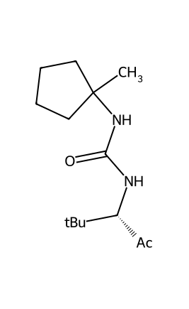 CC(=O)[C@@H](NC(=O)NC1(C)CCCC1)C(C)(C)C